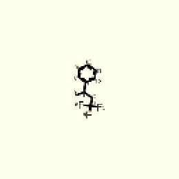 CC(CC(F)(F)F)c1ccccc1